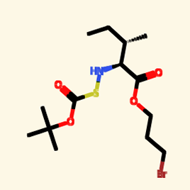 CC[C@H](C)[C@H](NSC(=O)OC(C)(C)C)C(=O)OCCCBr